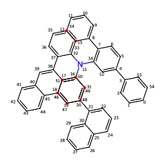 c1ccc(-c2ccc(-c3ccccc3)c(N(c3cccc(-c4cccc5ccccc45)c3)c3ccccc3-c3cc4ccccc4c4ccccc34)c2)cc1